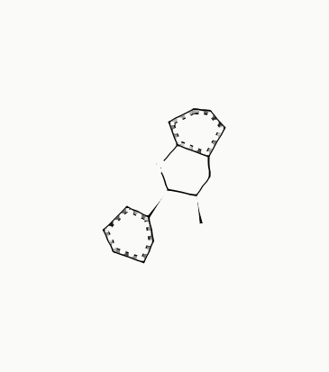 C[C@@H]1Cc2ccccc2N[C@@H]1c1ccccc1